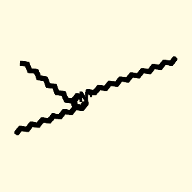 CCCCCCCCCCCCCCCCC[n+]1ccc(CCCCCCCCCCC)c(CCCCCCCCCCC)c1